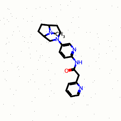 CN1C2CCC1CN(c1ccc(NC(=O)Cc3ccccn3)nc1)CC2